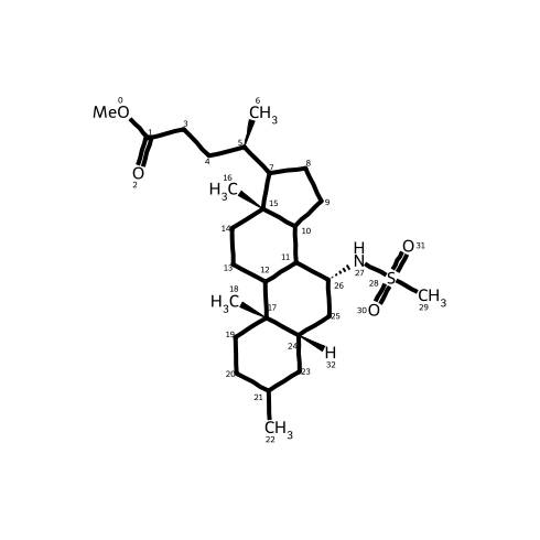 COC(=O)CC[C@@H](C)C1CCC2C3C(CC[C@@]21C)[C@@]1(C)CCC(C)C[C@H]1C[C@H]3NS(C)(=O)=O